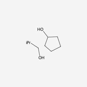 CC(C)CO.OC1CCCC1